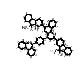 CC1(C)C2=C(CCC=C2)c2ccc(-c3cc4c(-c5ccc(-c6nc7ccccc7c7ccccc67)cc5)cc(-c5ccc6c(c5)C(C)(C)c5ccccc5-6)nc4c4ccccc34)cc21